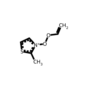 C=COO[n+]1ccsc1C